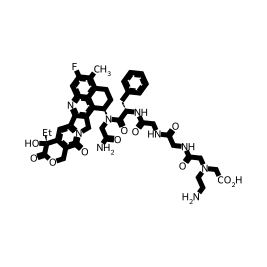 CC[C@@]1(O)C(=O)OCc2c1cc1n(c2=O)Cc2c-1nc1cc(F)c(C)c3c1c2[C@@H](N(CC(N)=O)C(=O)[C@H](Cc1ccccc1)NC(=O)CNC(=O)CNC(=O)CN(CCN)CC(=O)O)CC3